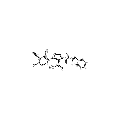 N#Cc1c(Cl)ccc(-c2scc(NC(=O)c3cc4ccccc4o3)c2C(=O)O)c1Cl